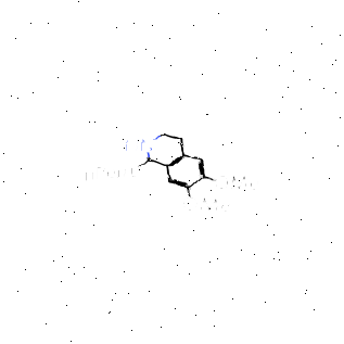 CCCCCC1NCCc2cc(OC)c(OC)cc21